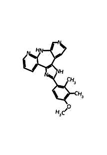 COc1ccc(-c2nc3c([nH]2)-c2ccncc2Nc2ncccc2-3)c(C)c1C